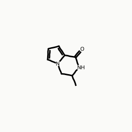 CC1Cn2cccc2C(=O)N1